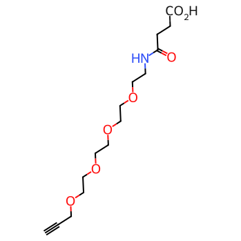 C#CCOCCOCCOCCOCCNC(=O)CCC(=O)O